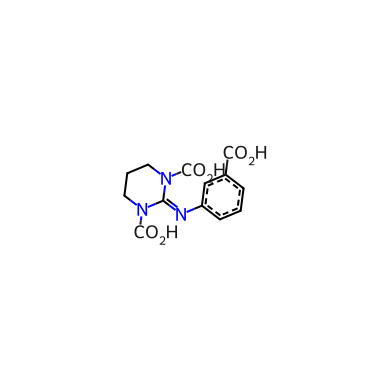 O=C(O)c1cccc(N=C2N(C(=O)O)CCCN2C(=O)O)c1